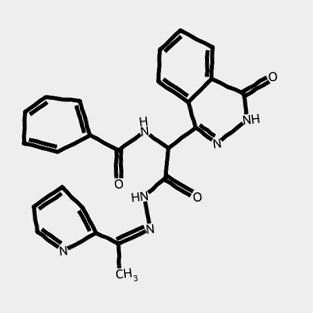 CC(=NNC(=O)C(NC(=O)c1ccccc1)c1n[nH]c(=O)c2ccccc12)c1ccccn1